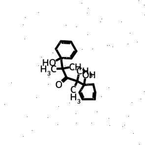 CC(C)(C(=O)C(C)(C)C1(O)C=CC=CC1)C1(O)C=CC=CC1